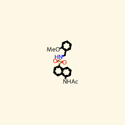 COc1ccccc1CNS(=O)(=O)c1cccc2c(NC(C)=O)cccc12